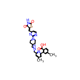 Cc1cc(CNCC2CCN(c3nccc(/C=C4\SC(=O)NC4=O)n3)CC2)nc(-c2cc(C)ccc2C(=O)O)c1